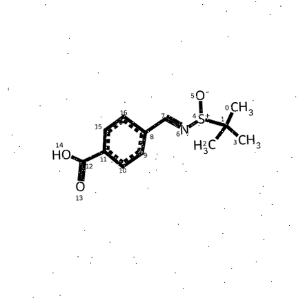 CC(C)(C)[S+]([O-])/N=C/c1ccc(C(=O)O)cc1